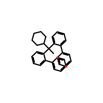 CC(c1ccccc1-c1ccccc1)(c1ccccc1-c1ccccc1)C1CCCCC1